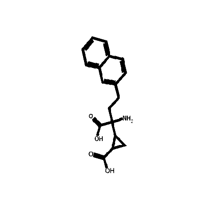 NC(CCc1ccc2ccccc2c1)(C(=O)O)C1CC1C(=O)O